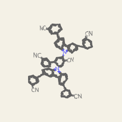 N#Cc1cccc(-c2ccc3c(c2)c2cc(-c4cccc(C#N)c4)ccc2n3-c2cc(-c3cccc(C#N)c3)c(-n3c4ccc(-c5cccc(C#N)c5)cc4c4cc(-c5cccc(C#N)c5)ccc43)cc2C#N)c1